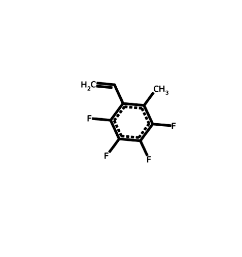 C=Cc1c(C)c(F)c(F)c(F)c1F